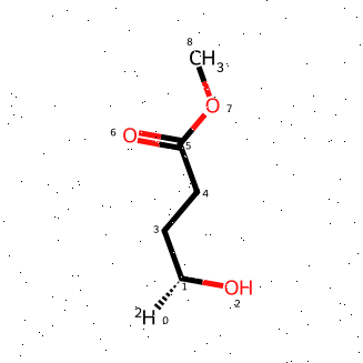 [2H][C@@H](O)CCC(=O)OC